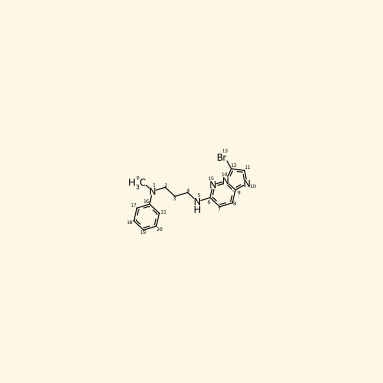 CN(CCCNc1ccc2ncc(Br)n2n1)c1ccccc1